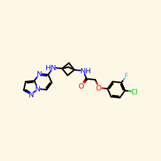 O=C(COc1ccc(Cl)c(F)c1)NC12CC(Nc3ccn4nccc4n3)(C1)C2